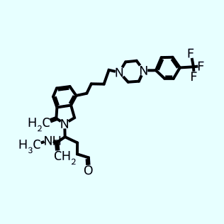 C=C(NC)C(CCC=O)N1Cc2c(CCCCN3CCN(c4ccc(C(F)(F)F)cc4)CC3)cccc2C1=C